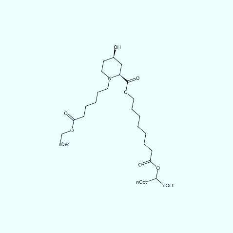 CCCCCCCCCCCOC(=O)CCCCCN1CC[C@@H](O)C[C@H]1C(=O)OCCCCCCCC(=O)OC(CCCCCCCC)CCCCCCCC